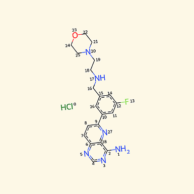 Cl.Nc1ncnc2ccc(-c3cc(F)cc(CNCCN4CCOCC4)c3)nc12